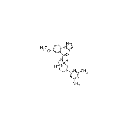 COc1ccc(-n2nccn2)c(C(=O)N2C[C@H]3CCN(c4cc(N)nc(C)n4)C[C@H]32)c1